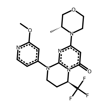 COc1cc(N2CC[C@H](C(F)(F)F)n3c2nc(N2CCOC[C@H]2C)cc3=O)ccn1